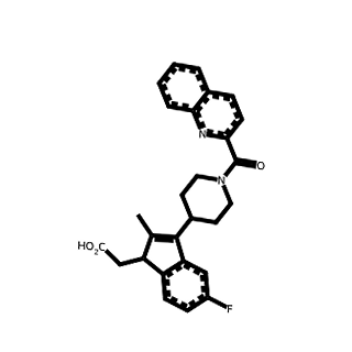 CC1=C(C2CCN(C(=O)c3ccc4ccccc4n3)CC2)c2cc(F)ccc2C1CC(=O)O